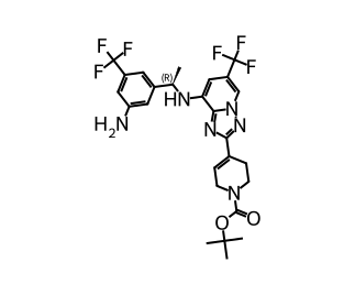 C[C@@H](Nc1cc(C(F)(F)F)cn2nc(C3=CCN(C(=O)OC(C)(C)C)CC3)nc12)c1cc(N)cc(C(F)(F)F)c1